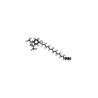 CC(C)N1[C]N(C(C)C)c2cc(OCCCCCCCCCCCCN=[N+]=[N-])ccc21